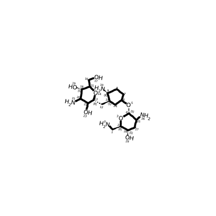 NC[C@H]1O[C@H](OC2CC[C@@H](N)[C@H](C[C@H]3OC(CO)[C@@H](O)C(N)C3O)C2)C(N)C[C@@H]1O